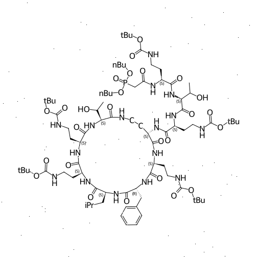 CCCCOP(=O)(CC(=O)N[C@@H](CCNC(=O)OC(C)(C)C)C(=O)N[C@H](C(=O)N[C@@H](CCNC(=O)OC(C)(C)C)C(=O)N[C@H]1CCNC(=O)[C@H](C(C)O)NC(=O)[C@H](CCNC(=O)OC(C)(C)C)NC(=O)[C@H](CCNC(=O)OC(C)(C)C)NC(=O)[C@H](CC(C)C)NC(=O)[C@@H](Cc2ccccc2)NC(=O)[C@H](CCNC(=O)OC(C)(C)C)NC1=O)C(C)O)OCCCC